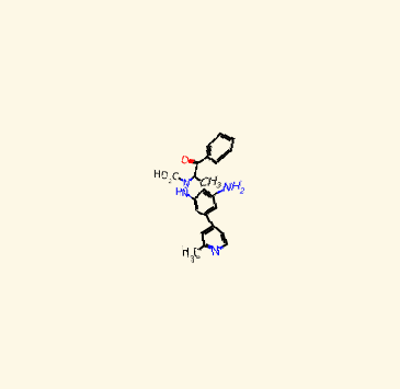 Cc1cc(-c2cc(N)cc(NN(C(=O)O)C(C)C(=O)c3ccccc3)c2)ccn1